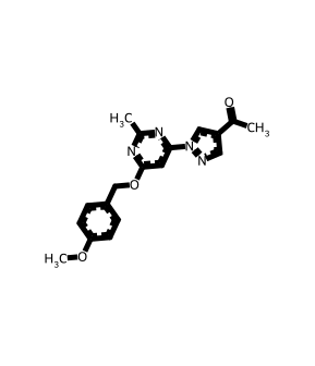 COc1ccc(COc2cc(-n3cc(C(C)=O)cn3)nc(C)n2)cc1